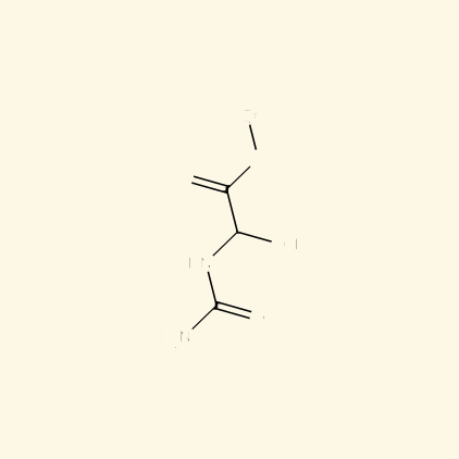 CCOC(=O)C(O)NC(N)=O